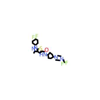 Cc1nn(C2CCC(F)(F)CC2)c2sc(C(=O)NC3CCC(N4CCN(CC(F)F)CC4)CC3)cc12